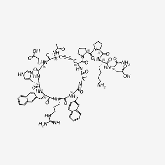 CC(=O)N[C@H]1CSSC[C@@H](C(=O)N2CCC[C@H]2C(=O)N2CCC[C@H]2C(=O)N[C@@H](CCCCN)C(=O)N[C@@H](CC(=O)O)C(N)=O)NC(=O)C(C)(C)NC(=O)[C@H](Cc2ccc3ccccc3c2)NC(=O)[C@H](CCCNC(=N)N)NC(=O)[C@@H](Cc2ccc3ccccc3c2)NC(=O)[C@H](Cc2c[nH]cn2)NC(=O)[C@H](CCC(=O)O)NC1=O